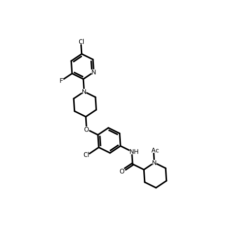 CC(=O)N1CCCCC1C(=O)Nc1ccc(OC2CCN(c3ncc(Cl)cc3F)CC2)c(Cl)c1